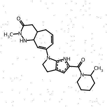 CC1CCCCN1C(=O)c1cc2c([nH]1)N(C1=CC3NN(C)C(=O)CC3CC=C1)CC2